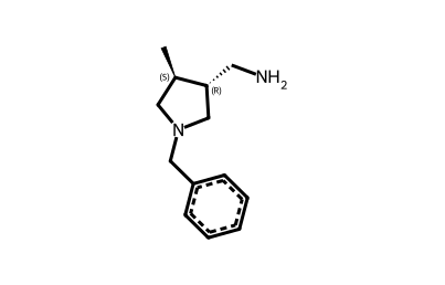 C[C@@H]1CN(Cc2ccccc2)C[C@H]1CN